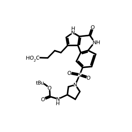 CC(C)(C)OC(=O)NC1CCN(S(=O)(=O)c2ccc3[nH]c(=O)c4[nH]cc(CCCC(=O)O)c4c3c2)C1